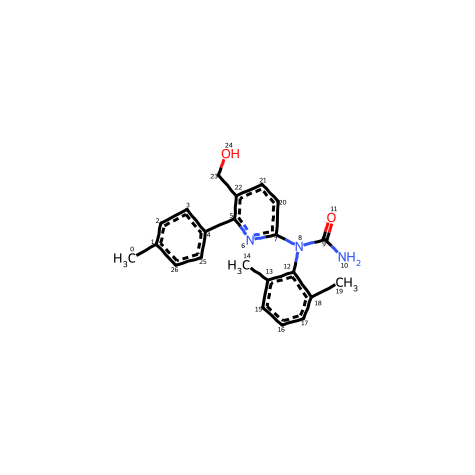 Cc1ccc(-c2nc(N(C(N)=O)c3c(C)cccc3C)ccc2CO)cc1